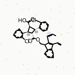 C=CC1=C(/C=C\C)C(COC(=O)[C@H]2[C@@H](c3ccccc3Cl)[C@H](C(=O)O)[C@@H]2c2ccccc2Cl)c2ccccc21